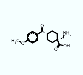 COc1ccc(C(=O)[C@H]2CC[C@](CN)(C(=O)O)CC2)cc1